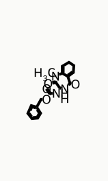 CN1C(=O)C(NC(=O)OCc2ccccc2)NC(=O)C2=CCCC=C21